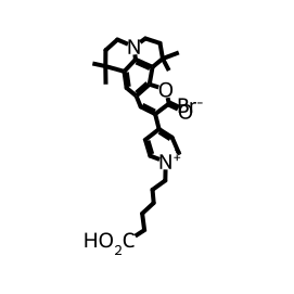 CC1(C)CCN2CCC(C)(C)c3c2c1cc1cc(-c2cc[n+](CCCCCC(=O)O)cc2)c(=O)oc31.[Br-]